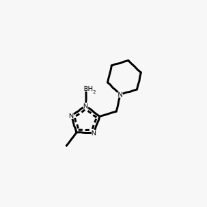 Bn1nc(C)nc1CN1CCCCC1